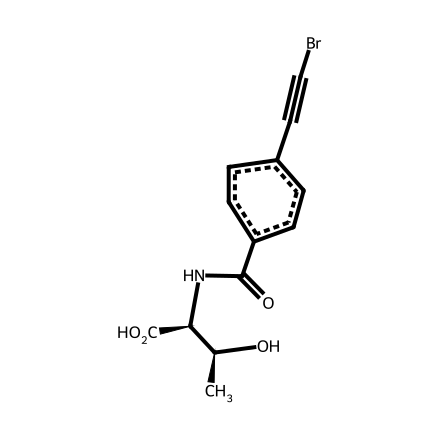 C[C@H](O)[C@H](NC(=O)c1ccc(C#CBr)cc1)C(=O)O